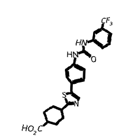 O=C(Nc1ccc(-c2cnc(C3CCC(C(=O)O)CC3)s2)cc1)Nc1cccc(C(F)(F)F)c1